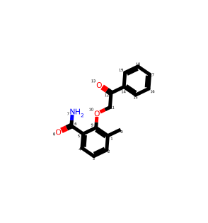 Cc1cccc(C(N)=O)c1OCC(=O)c1ccccc1